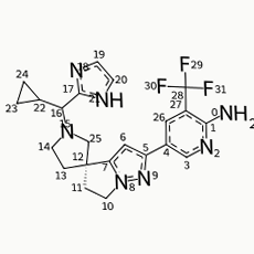 Nc1ncc(-c2cc3n(n2)CC[C@@]32CCN(C(c3ncc[nH]3)C3CC3)C2)cc1C(F)(F)F